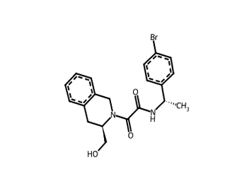 C[C@H](NC(=O)C(=O)N1Cc2ccccc2C[C@@H]1CO)c1ccc(Br)cc1